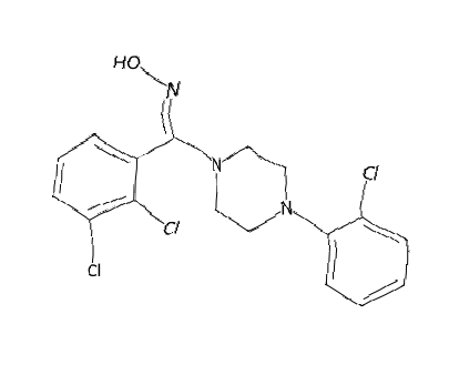 O/N=C(\c1cccc(Cl)c1Cl)N1CCN(c2ccccc2Cl)CC1